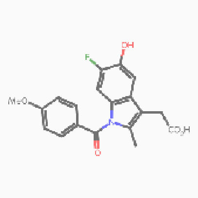 COc1ccc(C(=O)n2c(C)c(CC(=O)O)c3cc(O)c(F)cc32)cc1